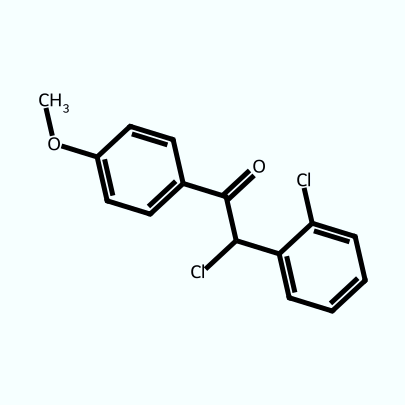 COc1ccc(C(=O)C(Cl)c2ccccc2Cl)cc1